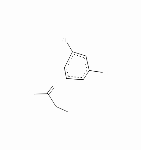 CCC(C)=O.Clc1cccc(Cl)c1